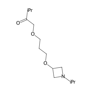 CC(C)C(=O)COCCCOC1CN(C(C)C)C1